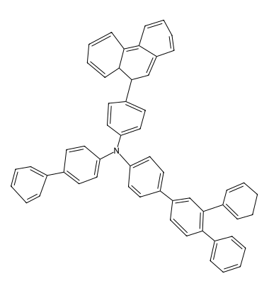 C1=CC2=c3ccccc3=CC(c3ccc(N(c4ccc(-c5ccccc5)cc4)c4ccc(-c5ccc(-c6ccccc6)c(C6=CCCC=C6)c5)cc4)cc3)C2C=C1